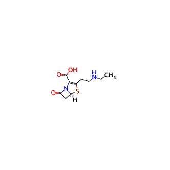 CCNCCC1=C(C(=O)O)N2C(=O)C[C@@H]2S1